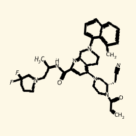 C=CC(=O)N1CCN(c2cc(C(=O)NC(C)CN3CCC(F)(F)C3)nc3c2CCN(c2cccc4cccc(C)c24)C3)C[C@@H]1CC#N